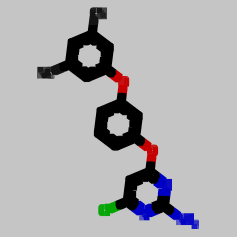 N#Cc1cc(C#N)cc(Oc2cccc(Oc3cc(Cl)nc(N)n3)c2)c1